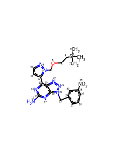 C[Si](C)(C)CCOCn1nccc1-c1nc(N)nc2c1nnn2Cc1cccc([N+](=O)[O-])c1